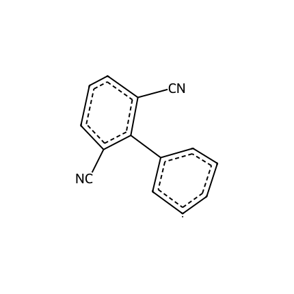 N#Cc1cccc(C#N)c1-c1c[c]ccc1